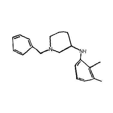 Cc1cccc(NC2CCCN(Cc3ccccc3)C2)c1C